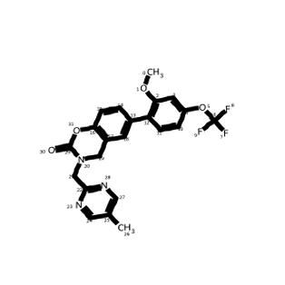 COc1cc(OC(F)(F)F)ccc1-c1ccc2c(c1)CN(Cc1ncc(C)cn1)C(=O)O2